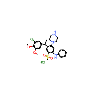 COc1cc(C(C)c2cc(S(C)(=O)=O)c(Nc3ccccc3)cc2N2CCNCC2)cc(Cl)c1OC.Cl